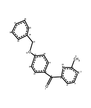 Cc1nccc(C(=O)c2ccc(OCc3ccccc3)cc2)n1